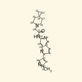 Cn1cc(-c2ccc3cnc(NC(=O)CN4CCC5(CC4)CC5)cc3n2)cn1